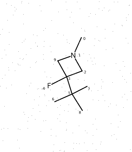 CN1CC(F)(C(C)(C)C)C1